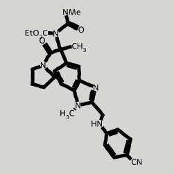 CCOC(=O)N(C(=O)NC)C(C)(C(=O)N1CCCC1)c1ccc2c(c1)nc(CNc1ccc(C#N)cc1)n2C